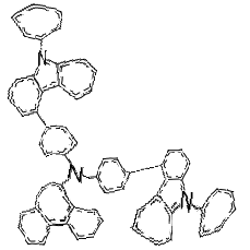 c1ccc(-n2c3ccccc3c3c(-c4ccc(N(c5ccc(-c6cccc7c6c6ccccc6n7-c6ccccc6)cc5)c5cc6ccccc6c6ccccc56)cc4)cccc32)cc1